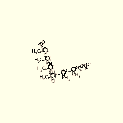 C=Cc1cccc[n+]1C.C=Cc1cccc[n+]1C.C=Cc1cccc[n+]1C.C=Cc1cccc[n+]1C.C=Cc1cccc[n+]1C.C=Cc1cccc[n+]1C.[O-]B([O-])F.[O-]B([O-])F.[O-]B([O-])F